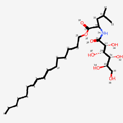 CCCCCCCCCCCCCCCCOC(=O)C(CC(C)C)NC(=O)[C@H](O)[C@@H](O)[C@H](O)[C@H](O)CO